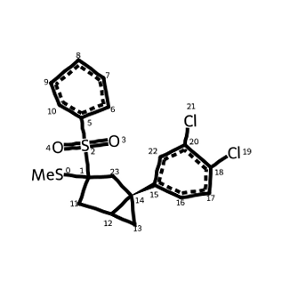 CSC1(S(=O)(=O)c2ccccc2)CC2C[C@@]2(c2ccc(Cl)c(Cl)c2)C1